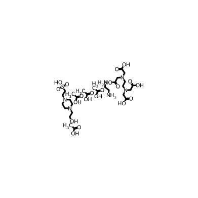 CC(=O)O.CC(=O)O.CC(=O)O.CC(=O)O.NCCN.O=C(O)CN(CCN(CC(=O)O)CC(=O)O)CC(=O)O.O=S(=O)(O)CCN1CCN(CCO)CC1